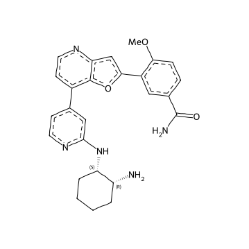 COc1ccc(C(N)=O)cc1-c1cc2nccc(-c3ccnc(N[C@H]4CCCC[C@H]4N)c3)c2o1